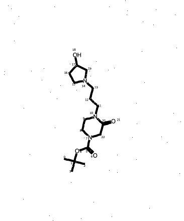 CC(C)(C)OC(=O)N1CCN(CCCN2CCC(O)C2)C(=O)C1